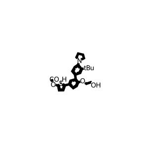 CC(C)(C)c1cc(-c2cc(-c3ccc(OC(=O)O)s3)ccc2OCCO)ccc1N1CCCC1